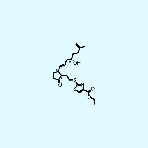 C=C(C)CC[C@H](O)C/C=C/[C@@H]1CCC(=O)[C@@H]1CCSc1nc(C(=O)OCC)cs1